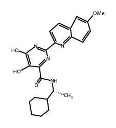 COc1ccc2nc(-c3nc(O)c(O)c(C(=O)N[C@H](C)C4CCCCC4)n3)ccc2c1